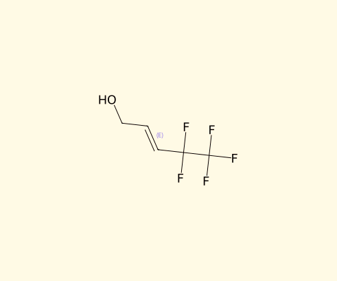 OC/C=C/C(F)(F)C(F)(F)F